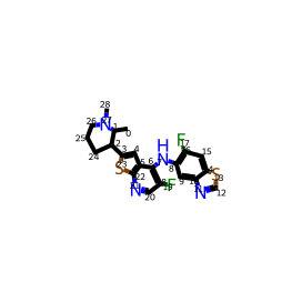 CC1C(c2cc3c(Nc4cc5ncsc5cc4F)c(F)cnc3s2)CCCN1C